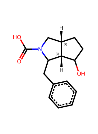 O=C(O)N1C[C@@H]2CCC(O)[C@@H]2C1Cc1ccccc1